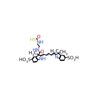 CC1(C)C(/C=C/C=C/C=C2\Nc3ccc(S(=O)(=O)O)cc3C2(C)C(=O)NCCNC(=O)S)=Nc2ccc(S(=O)(=O)O)cc21